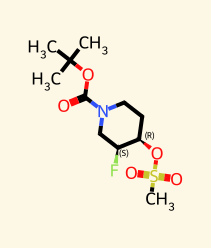 CC(C)(C)OC(=O)N1CC[C@@H](OS(C)(=O)=O)[C@@H](F)C1